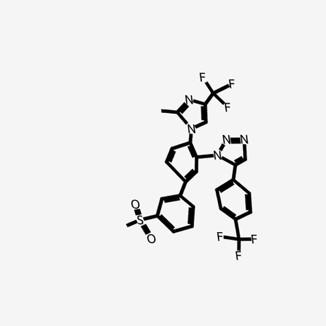 Cc1nc(C(F)(F)F)cn1-c1ccc(-c2cccc(S(C)(=O)=O)c2)cc1-n1nncc1-c1ccc(C(F)(F)F)cc1